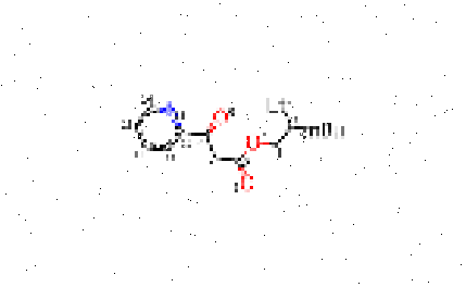 CCCCC(CC)COC(=O)CC(=O)c1ccccn1